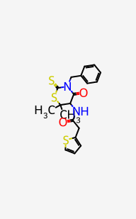 CC1(C)SC(=S)N(Cc2ccccc2)C(=O)C1NC(=O)Cc1cccs1